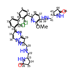 COc1nc(-c2cccc(-c3cccc(-c4ccn5nc(CNC[C@H]6CCC(=O)N6)cc5n4)c3Cl)c2Cl)ccc1CNC[C@@H]1CCC(=O)N1